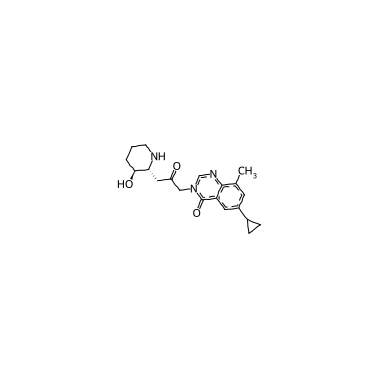 Cc1cc(C2CC2)cc2c(=O)n(CC(=O)C[C@H]3NCCC[C@@H]3O)cnc12